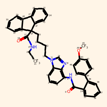 O=C(Nc1cccc2c1ncn2CCCCC1(C(=O)NCC(F)(F)F)c2ccccc2-c2ccccc21)c1ccccc1-c1ccc(OC(F)(F)F)cc1